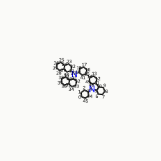 c1ccc(-n2c3ccccc3c3ccc(-c4cccc(N(c5ccc6ccccc6c5)c5cccc6ccccc56)c4)cc32)cc1